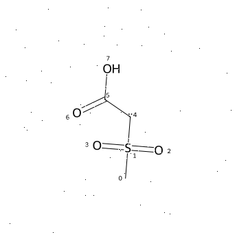 CS(=O)(=O)[C]C(=O)O